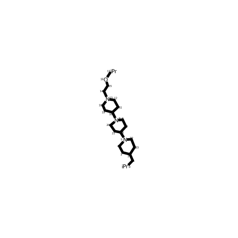 CC(C)CC1CCN(C2CCN(C3CCN(CCOC(C)C)CC3)CC2)CC1